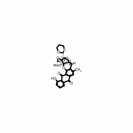 CO[C@@]12Oc3c4c(cc(C)c3[C@H]3O[C@](C5OCCCO5)(O[C@@H]31)[C@]21CO1)C(=O)c1cccc(O)c1C4=O